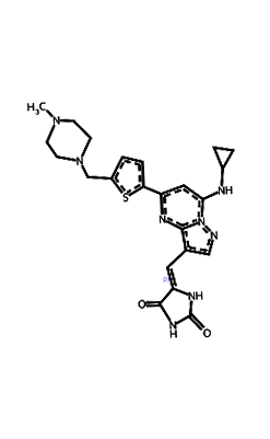 CN1CCN(Cc2ccc(-c3cc(NC4CC4)n4ncc(/C=C5\NC(=O)NC5=O)c4n3)s2)CC1